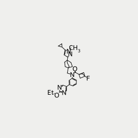 CCOc1ncc(-c2cccc(N(CC34CCC(c5cc(C6CC6)n(C)n5)(CC3)CC4)C(=O)C34CC(F)(C3)C4)c2)cn1